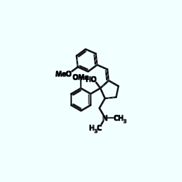 COc1cccc(C=C2CCC(CN(C)C)C2(O)c2ccccc2OC)c1